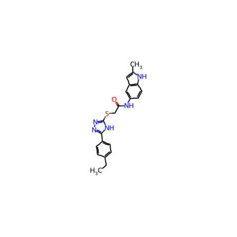 CCc1ccc(-c2nnc(SCC(=O)Nc3ccc4[nH]c(C)cc4c3)[nH]2)cc1